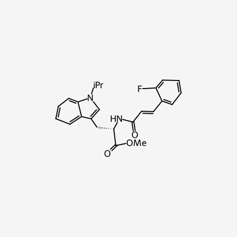 COC(=O)[C@H](Cc1cn(C(C)C)c2ccccc12)NC(=O)C=Cc1ccccc1F